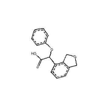 O=C(O)C(Oc1ccccc1)c1cccc2c1COC2